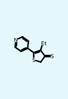 CCC1=C(c2ccncc2)SCC1=S